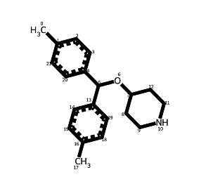 Cc1ccc(C(OC2CCNCC2)c2ccc(C)cc2)cc1